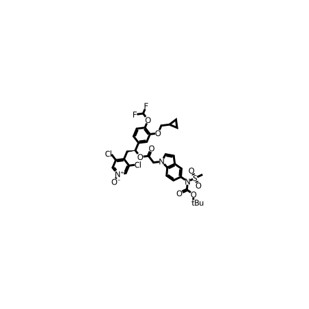 CC(C)(C)OC(=O)N(c1ccc2c(ccn2CC(=O)O[C@@H](Cc2c(Cl)c[n+]([O-])cc2Cl)c2ccc(OC(F)F)c(OCC3CC3)c2)c1)S(C)(=O)=O